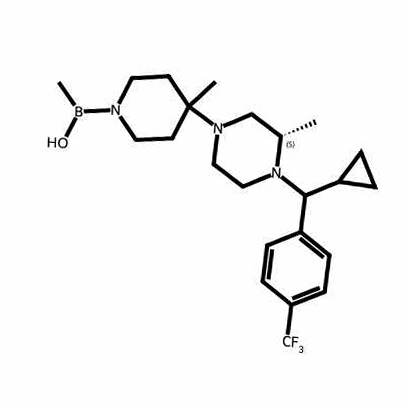 CB(O)N1CCC(C)(N2CCN(C(c3ccc(C(F)(F)F)cc3)C3CC3)[C@@H](C)C2)CC1